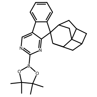 CC1(C)OB(c2ncc3c(n2)C2(c4ccccc4-3)C3CC4CC5CC2CC45C3)OC1(C)C